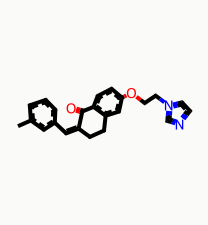 Cc1cccc(C=C2CCc3cc(OCCn4ccnc4)ccc3C2=O)c1